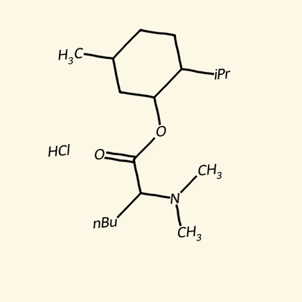 CCCCC(C(=O)OC1CC(C)CCC1C(C)C)N(C)C.Cl